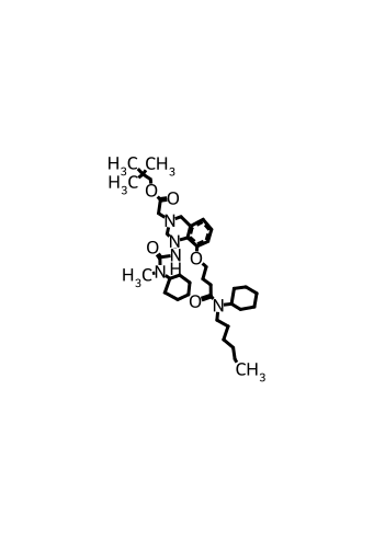 CCCCCCN(C(=O)CCCOc1cccc2c1N(NC(=O)N(C)C1CCCCC1)CN(CC(=O)OCC(C)(C)C)C2)C1CCCCC1